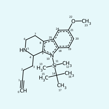 C#CCCC1NCCc2c1n([Si](C)(C)C(C)(C)C)c1ccc(OC)cc21